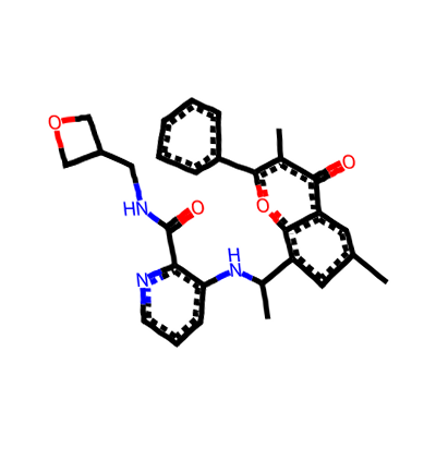 Cc1cc(C(C)Nc2cccnc2C(=O)NCC2COC2)c2oc(-c3ccccc3)c(C)c(=O)c2c1